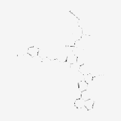 Cc1ccnc(NCCCCC(=O)N[C@@H](COC(C)(C)COC(C)(C)CCN=[N+]=[N-])C(=O)N[C@@H](CC(=O)O)c2ccc(-c3cccc4ccccc34)cc2)c1